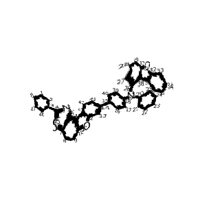 c1ccc(-c2nc3c(ccc4oc5cc(-c6ccc(N(c7ccccc7)c7cccc8oc9ccccc9c78)cc6)ccc5c43)s2)cc1